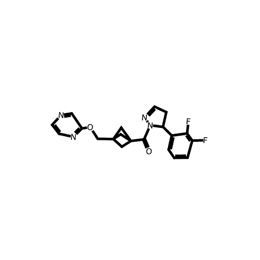 O=C(N1N=CCC1c1cccc(F)c1F)C12CC(COc3cnccn3)(C1)C2